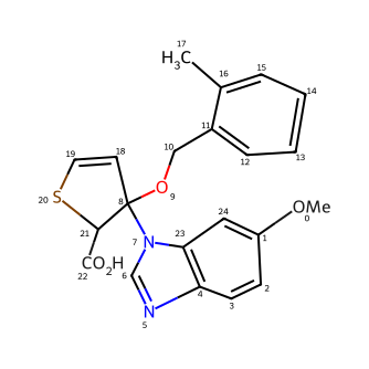 COc1ccc2ncn(C3(OCc4ccccc4C)C=CSC3C(=O)O)c2c1